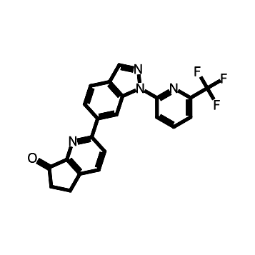 O=C1CCc2ccc(-c3ccc4cnn(-c5cccc(C(F)(F)F)n5)c4c3)nc21